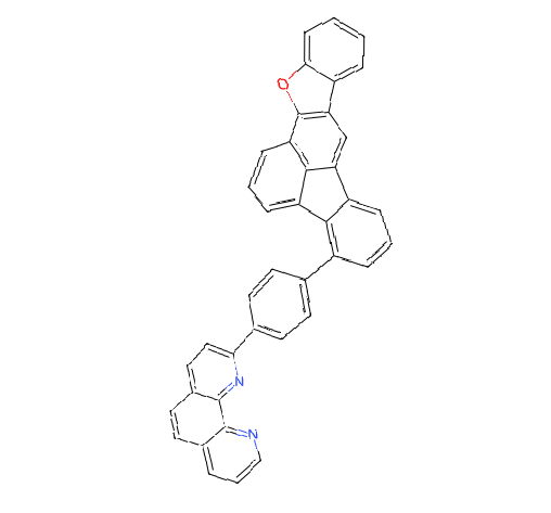 c1cc(-c2ccc(-c3ccc4ccc5cccnc5c4n3)cc2)c2c(c1)-c1cc3c4ccccc4oc3c3cccc-2c13